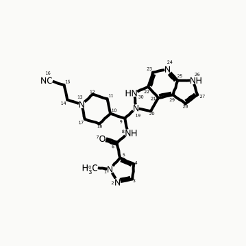 Cn1nccc1C(=O)NC(C1CCN(CCC#N)CC1)N1Cc2c(cnc3[nH]ccc23)N1